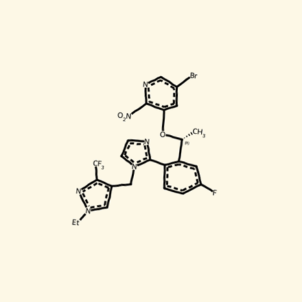 CCn1cc(Cn2ccnc2-c2ccc(F)cc2[C@@H](C)Oc2cc(Br)cnc2[N+](=O)[O-])c(C(F)(F)F)n1